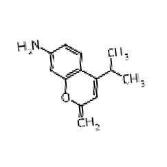 C=C1C=C(C(C)C)c2ccc(N)cc2O1